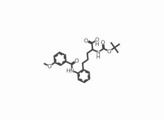 COc1cccc(C(=O)Nc2ccccc2CCCC(NC(=O)OC(C)(C)C)C(=O)O)c1